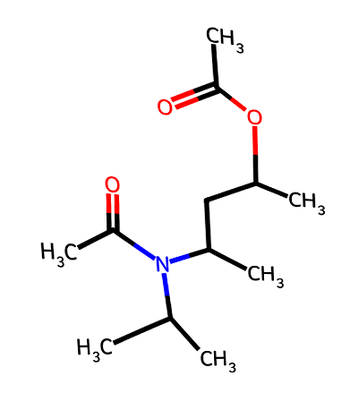 CC(=O)OC(C)CC(C)N(C(C)=O)C(C)C